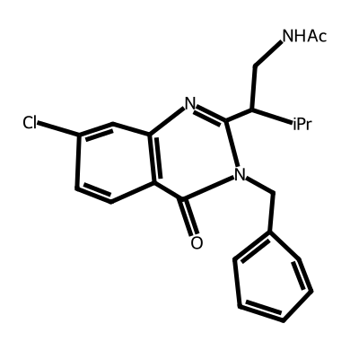 CC(=O)NCC(c1nc2cc(Cl)ccc2c(=O)n1Cc1ccccc1)C(C)C